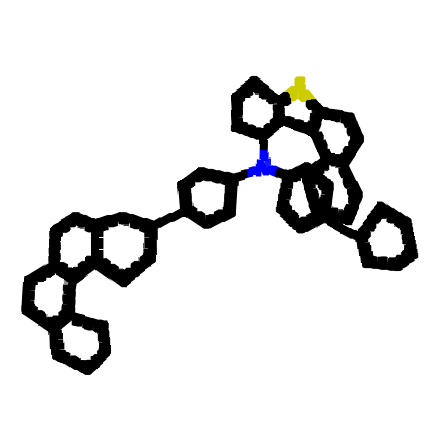 c1ccc(-c2ccc(N(c3ccc(-c4ccc5c(ccc6ccc7ccccc7c65)c4)cc3)c3cccc4sc5ccc6ccccc6c5c34)cc2)cc1